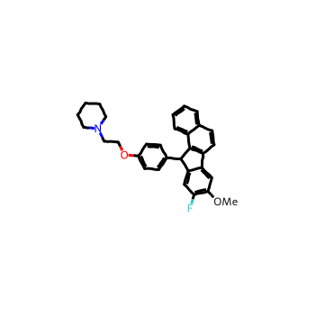 COc1cc2c(cc1F)C(c1ccc(OCCN3CCCCC3)cc1)c1c-2ccc2ccccc12